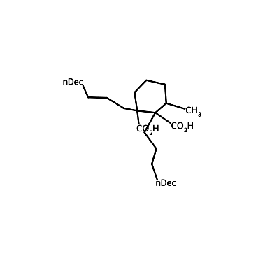 CCCCCCCCCCCCCC1(C(=O)O)CCCC(C)C1(CCCCCCCCCCCCC)C(=O)O